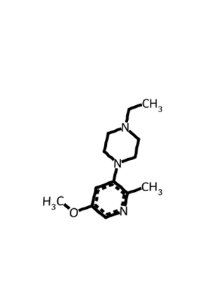 CCN1CCN(c2cc(OC)cnc2C)CC1